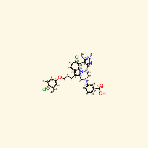 Cc1cc(OCCCc2c3n(c4c(-c5c(C)nn(C)c5C)c(Cl)ccc24)[C@H](C)CN(c2cccc(C(=O)O)c2)C3)cc(C)c1Cl